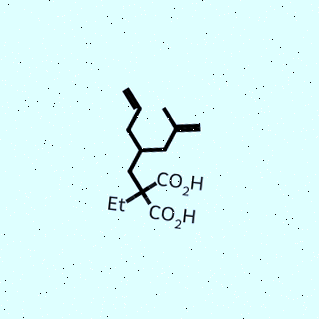 C=CCC(CC(=C)C)CC(CC)(C(=O)O)C(=O)O